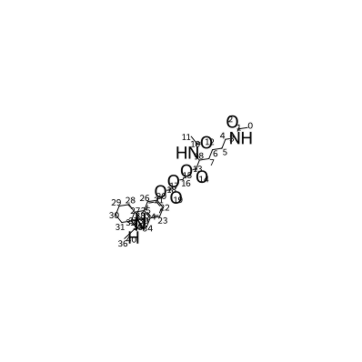 CC(=O)NCCCCC(NC(C)=O)C(=O)OCOC(=O)Oc1ccc2c(c1)[C@@]13CCCC[C@H]1[C@@H](C2)N(C)CC3